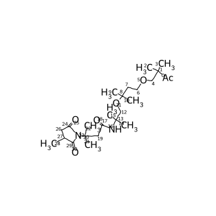 CC(=O)C(C)(C)COCCC(C)(C)OCC(C)(C)NC(=O)CC(C)(C)N1C(=O)CC(C)C1=O